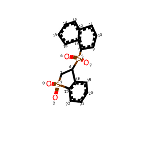 O=S1(=O)CC(S(=O)(=O)c2cccc3ccccc23)c2ccccc21